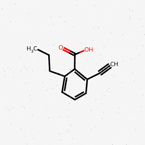 C#Cc1cccc(CCC)c1C(=O)O